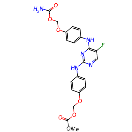 COC(=O)OCOc1ccc(Nc2ncc(F)c(Nc3ccc(OCOC(N)=O)cc3)n2)cc1